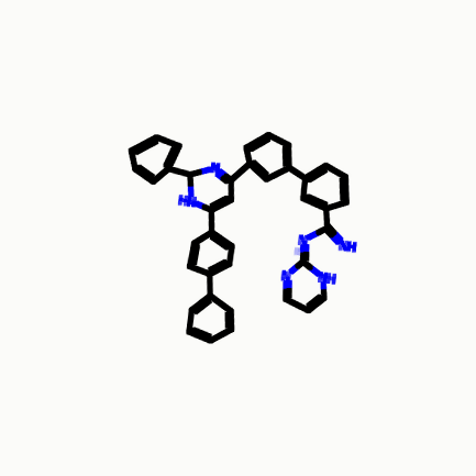 N=C(/N=c1/nccc[nH]1)c1cccc(-c2cccc(C3=NC(c4ccccc4)NC(c4ccc(-c5ccccc5)cc4)=C3)c2)c1